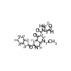 CCn1cc(C(=O)N2C[C@@H]3C[C@H]2CO3)c(=O)c2cc(OC3Cc4ccccc4C3)ncc21